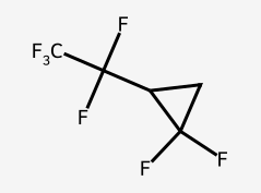 FC1(F)CC1C(F)(F)C(F)(F)F